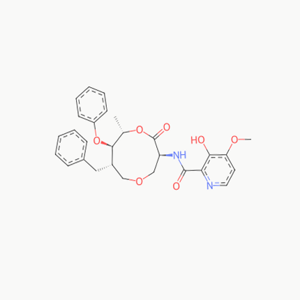 COc1ccnc(C(=O)N[C@H]2COC[C@H](Cc3ccccc3)[C@@H](Oc3ccccc3)[C@H](C)OC2=O)c1O